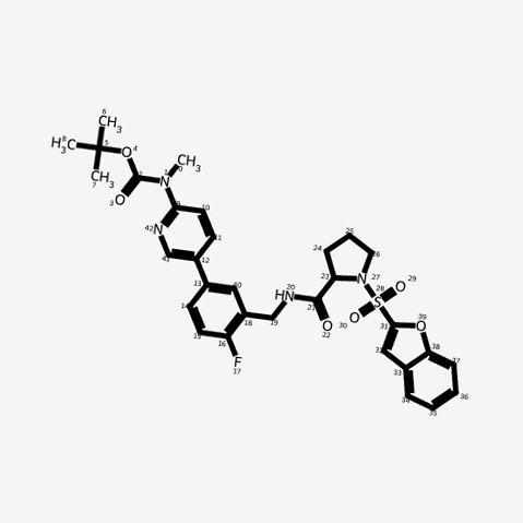 CN(C(=O)OC(C)(C)C)c1ccc(-c2ccc(F)c(CNC(=O)C3CCCN3S(=O)(=O)c3cc4ccccc4o3)c2)cn1